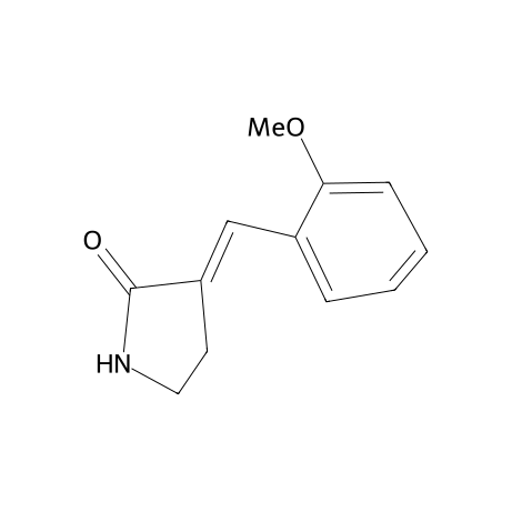 COc1ccccc1C=C1CCNC1=O